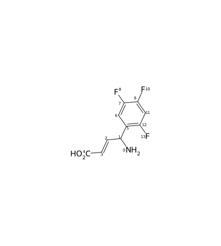 NC(C=CC(=O)O)c1cc(F)c(F)cc1F